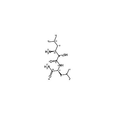 CC(C)C[C@H](NC(=O)C(S)[C@@H](N)CC(C)C)C(N)=O